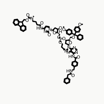 COc1ccc(C(OC[C@H]2O[C@@H](n3cnc4c(NC(=O)c5ccc(CNC(=O)Cc6ccccc6)cc5)ncnc43)CC2OP(OCCC#N)OC[C@H]2O[C@@H](n3ccc(NC(=O)CCCN(C)C(=O)OCC4c5ccccc5-c5ccccc54)nc3=O)CC2O)(c2ccccc2)c2ccc(OC)cc2)cc1